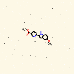 COC(=O)c1ccc(-c2cc3cc(OC)ccc3[nH]2)nc1